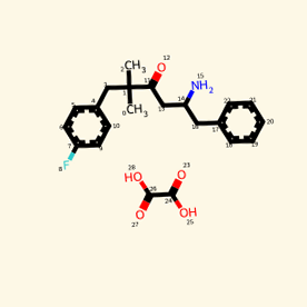 CC(C)(Cc1ccc(F)cc1)C(=O)CC(N)Cc1ccccc1.O=C(O)C(=O)O